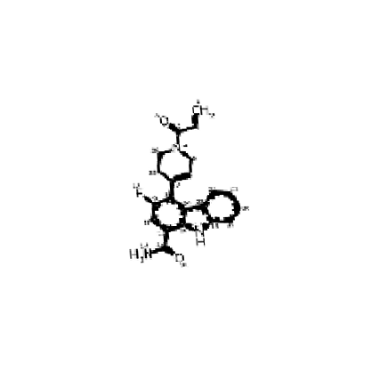 C=CC(=O)N1CC=C(c2c(F)cc(C(N)=O)c3[nH]c4ccccc4c23)CC1